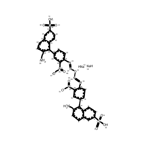 Nc1ccc2cc(S(=O)(=O)O)ccc2c1-c1ccc(/N=N/O/N=N/c2ccc(-c3c(N)ccc4cc(S(=O)(=O)O)ccc34)cc2[N+](=O)[O-])c([N+](=O)[O-])c1.[NaH].[NaH]